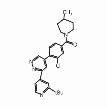 CC1CCN(C(=O)c2ccc(-c3cnnc(-c4ccnc(C(C)(C)C)c4)c3)c(Cl)c2)CC1